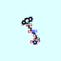 O=C(CCC(=O)OC1Cc2ccccc2C#Cc2ccccc21)NCCOCC(=O)ON1C(=O)CCC1=O